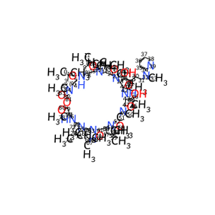 CC(C)C[C@@H]1C(=O)N[C@H](CC(C)C)C(=O)N(C)C(C(C)C)C(=O)N(C)C([C@H](O)[C@H](C)CCN(C)c2ccccn2)C(=O)NC([C@@H](C)O)C(=O)N(C)CC(=O)N(C)[C@@H](CC(C)C)C(=O)N[C@H](CC(C)C)N(C)[C@H](CC(C)C)N[C@H](C)C(=O)OC(=O)N1C